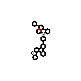 c1ccc(-c2ccc(-c3ccccc3N(c3ccccc3)c3ccc(-c4ccc5c6ccccc6c6c(ccc7oc8ccccc8c76)c5c4)cc3)cc2)cc1